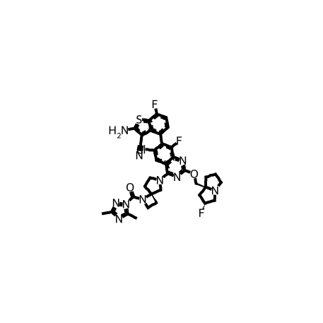 Cc1nc(C)n(C(=O)N2CC[C@]23CCN(c2nc(OC[C@@]45CCCN4C[C@H](F)C5)nc4c(F)c(-c5ccc(F)c6sc(N)c(C#N)c56)c(Cl)cc24)C3)n1